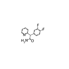 NC(=O)C(c1ccc(F)c(F)c1)c1ccccn1